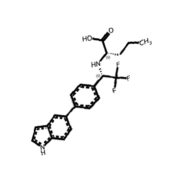 CCC[C@H](N[C@@H](c1ccc(-c2ccc3[nH]ccc3c2)cc1)C(F)(F)F)C(=O)O